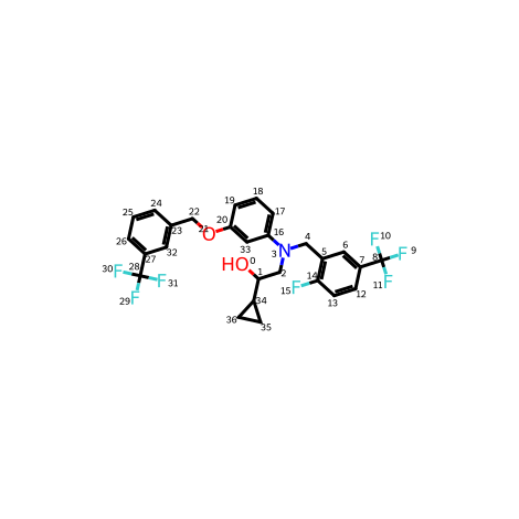 OC(CN(Cc1cc(C(F)(F)F)ccc1F)c1cccc(OCc2cccc(C(F)(F)F)c2)c1)C1CC1